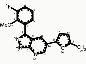 COc1c(F)cccc1-c1n[nH]c2ncc(-c3ccc(C)o3)cc12